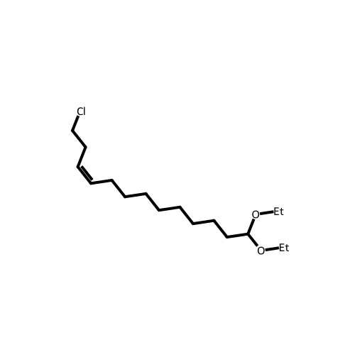 CCOC(CCCCCCCC/C=C\CCCl)OCC